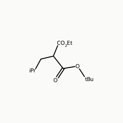 CCOC(=O)C(CC(C)C)C(=O)OC(C)(C)C